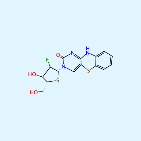 O=c1nc2c(cn1[C@@H]1S[C@H](CO)C(O)C1F)Sc1ccccc1N2